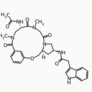 CC(=O)N[C@H]1CN(C)C(=O)c2cccc(c2)OC[C@@H]2C[C@H](NC(=O)Cc3c[nH]c4ccccc34)CN2C(=O)CN(C)C1=O